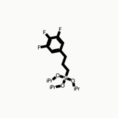 CC(C)O[Si](CCCc1cc(F)c(F)c(F)c1)(OC(C)C)OC(C)C